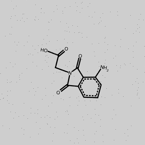 Nc1cccc2c1C(=O)N(CC(=O)O)C2=O